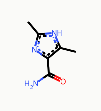 Cc1nc(C(N)=O)c(C)[nH]1